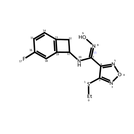 CCSc1nonc1/C(=N/O)NC1Cc2ccc(F)cc21